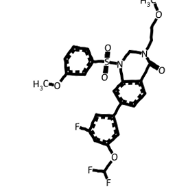 COCCN1CN(S(=O)(=O)c2cccc(OC)c2)c2cc(-c3cc(F)cc(OC(F)F)c3)ccc2C1=O